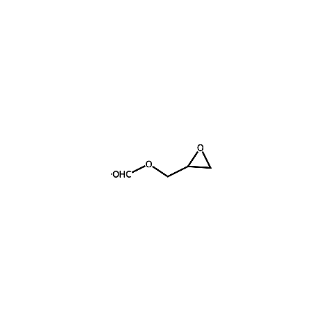 O=[C]OCC1CO1